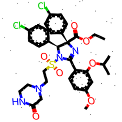 CCOC(=O)[C@]1(c2ccc(Cl)cc2)N=C(c2ccc(OC)cc2OC(C)C)N(S(=O)(=O)CCN2CCNC(=O)C2)[C@H]1c1ccc(Cl)cc1